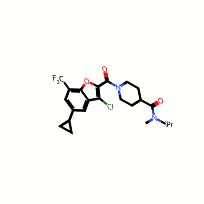 CC(C)N(C)C(=O)C1CCN(C(=O)c2oc3c(C(F)(F)F)cc(C4CC4)cc3c2Cl)CC1